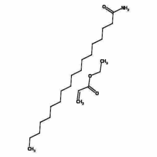 C=CC(=O)OCC.CCCCCCCCCCCCCCCCCC(N)=O